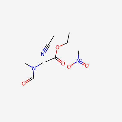 CC#N.CCOC(C)=O.CN(C)C=O.C[N+](=O)[O-]